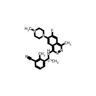 Cc1c(C#N)cccc1[C@@H](C)Nc1nnc(C)c2cc(F)c(N3CCN(C)CC3)cc12